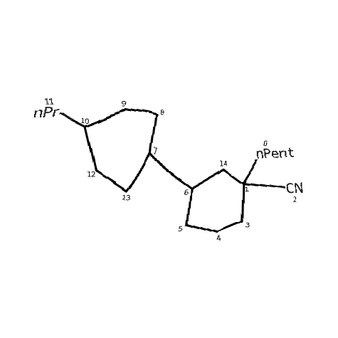 CCCCCC1(C#N)CCCC(C2CCC(CCC)CC2)C1